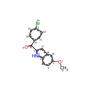 COc1ccc2[nH]c(C(=O)c3ccc(Br)cc3)cc2c1